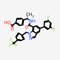 C[C@H](NC(=O)c1cc(-c2cc(F)cc(F)c2)cc2cnn(Cc3ccc(C(F)(F)F)cc3)c12)c1ccc(C(=O)O)cc1